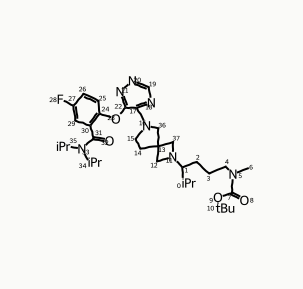 CC(C)C(CCCN(C)C(=O)OC(C)(C)C)N1CC2(CCN(c3ncnnc3Oc3ccc(F)cc3C(=O)N(C(C)C)C(C)C)C2)C1